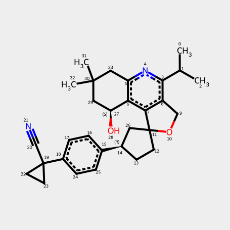 CC(C)c1nc2c(c3c1COC31CC[C@@H](c3ccc(C4(C#N)CC4)cc3)C1)[C@@H](O)CC(C)(C)C2